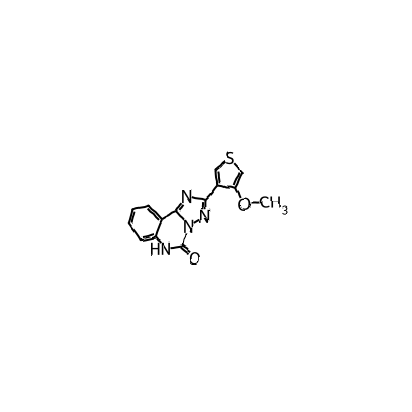 COc1cscc1-c1nc2c3ccccc3[nH]c(=O)n2n1